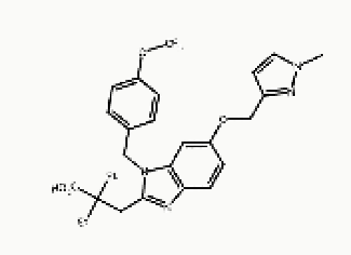 CCC(CC)(Cc1nc2ccc(OCc3ccn(C)n3)cc2n1Cc1ccc(OC(F)(F)F)cc1)C(=O)O